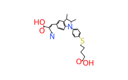 CC1c2cc(/C=C(\C#N)C(=O)O)ccc2N(c2ccc(SCCCCC(=O)O)cc2)C1C